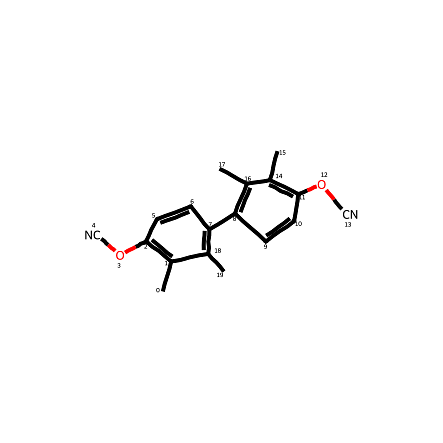 Cc1c(OC#N)ccc(-c2ccc(OC#N)c(C)c2C)c1C